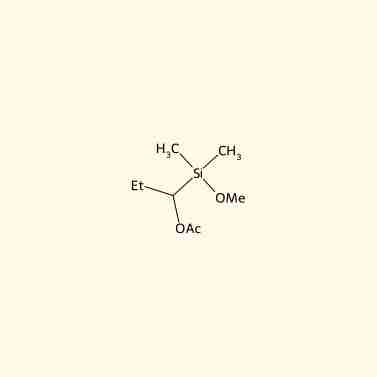 CCC(OC(C)=O)[Si](C)(C)OC